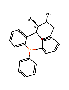 CCCCC1CCCC(c2ccccc2P(c2ccccc2)c2ccccc2)[C@H]1C